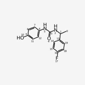 CC(NC(=O)Nc1ccc(O)cc1)c1ccc(F)cc1